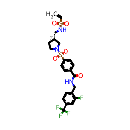 C=CS(=O)(=O)NC[C@H]1CCN(S(=O)(=O)c2ccc(C(=O)NCc3ccc(C(F)(F)F)cc3F)cc2)C1